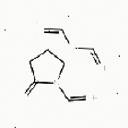 C=CN1CCCC1=O.C=COC=C